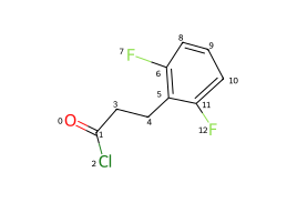 O=C(Cl)CCc1c(F)cccc1F